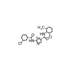 Cc1cccc(Cl)c1NC(=O)c1cnc(NC(=O)c2cccc(Cl)c2)[se]1